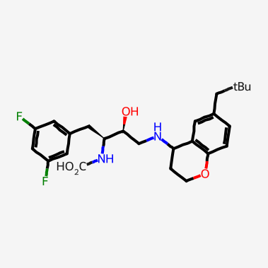 CC(C)(C)Cc1ccc2c(c1)C(NC[C@H](O)[C@H](Cc1cc(F)cc(F)c1)NC(=O)O)CCO2